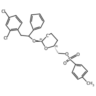 Cc1ccc(S(=O)(=O)OC[C@H]2CCC[C@H](OC(Cc3ccc(Cl)cc3Cl)c3ccccc3)O2)cc1